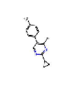 CCc1nc(C2CC2)ncc1-c1ccc(C)cc1